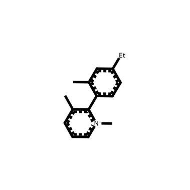 CCc1ccc(-c2c(C)ccc[n+]2C)c(C)c1